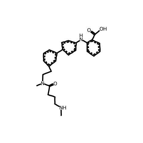 CNCCCC(=O)N(C)CCc1cccc(-c2ccc(Nc3ccccc3C(=O)O)cc2)c1